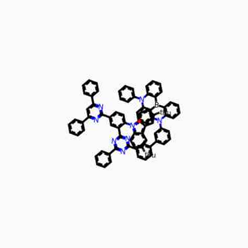 CC(C)(C)c1ccc2c(c1)c1cc(C(C)(C)C)ccc1n2-c1ccc(-c2nc(-c3ccccc3)cc(-c3ccccc3)n2)cc1-c1nc(-c2ccccc2)nc(-c2cccc(-c3cccc(N4c5ccccc5B5c6ccccc6N(c6ccccc6)c6cccc4c65)c3)c2)n1